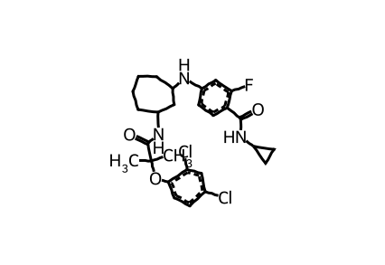 CC(C)(Oc1ccc(Cl)cc1Cl)C(=O)NC1CCCCC(Nc2ccc(C(=O)NC3CC3)c(F)c2)C1